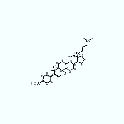 CN(C)CCCNC12CCCC1C1CCC3C(C)(CCC4C(C)(C)C(c5ccc(C(=O)O)cc5)=CCC43C)C1CC2